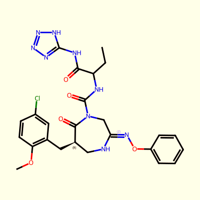 CCC(NC(=O)N1C/C(=N/Oc2ccccc2)NC[C@@H](Cc2cc(Cl)ccc2OC)C1=O)C(=O)Nc1nnn[nH]1